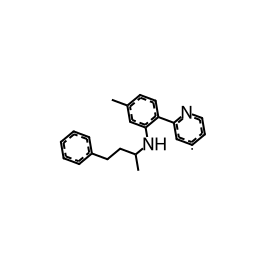 Cc1ccc(-c2c[c]ccn2)c(NC(C)CCc2ccccc2)c1